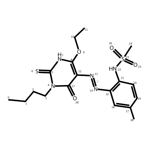 CCCCn1c(=S)[nH]c(OCC)c(/N=N/c2cc(C)ccc2NS(C)(=O)=O)c1=O